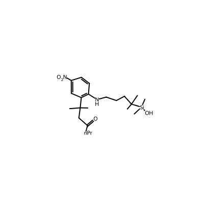 CCCC(=O)CC(C)(C)c1cc([N+](=O)[O-])ccc1NCCCC(C)(C)[Si](C)(C)O